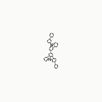 c1ccc(-c2cccc(-n3c4ccccc4c4cc(-c5cc6c7ccccc7n7c8cc(-c9ccccc9)ccc8c(c5)c67)ccc43)c2)cc1